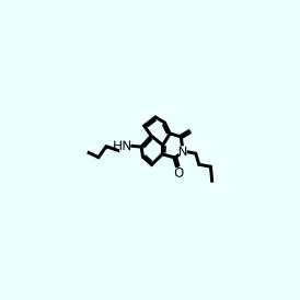 C=c1c2cccc3c(NCCCC)ccc(c(=O)n1CCCC)c32